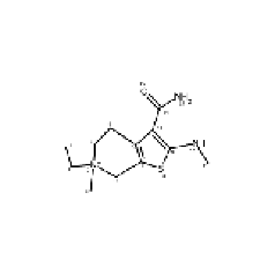 CC[N+]1(C)CCc2c(sc(NC)c2C(N)=O)C1